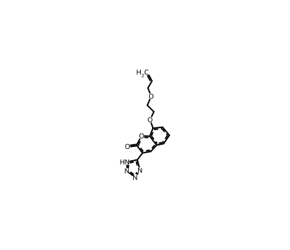 C=CCOCCOc1cccc2cc(-c3nnn[nH]3)c(=O)oc12